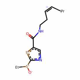 CC[S+]([O-])c1ncc(C(=O)NCC/C=C\C(C)C)s1